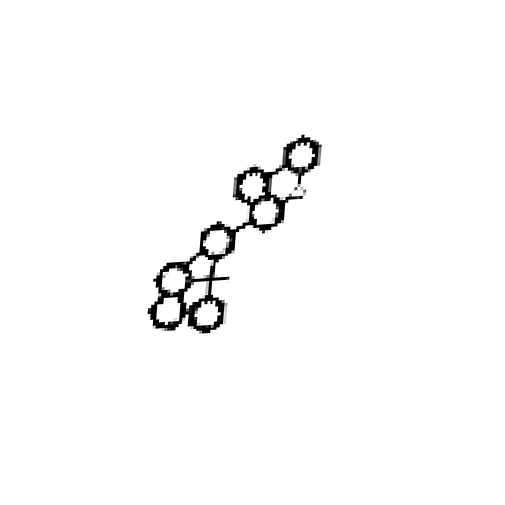 CC1(c2ccccc2)c2cc(-c3ccc4c5c(cccc35)-c3ccccc3O4)ccc2-c2ccc3ccccc3c21